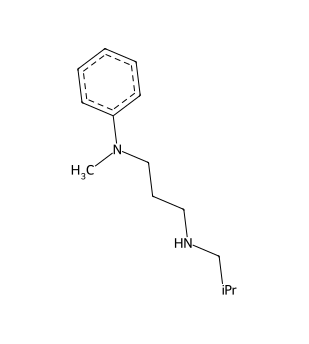 CC(C)CNCCCN(C)c1ccccc1